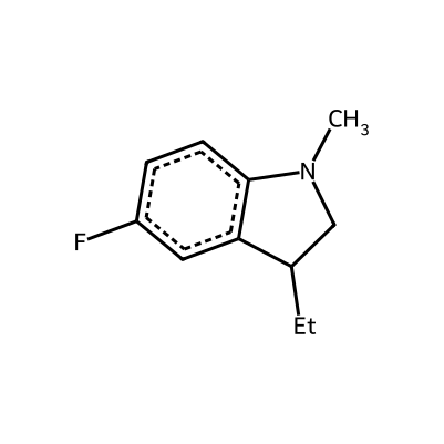 CCC1CN(C)c2ccc(F)cc21